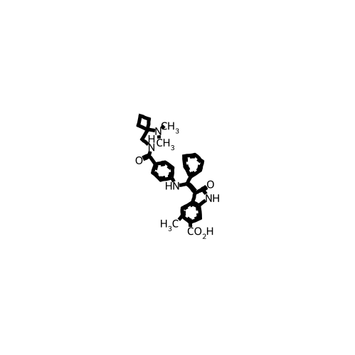 Cc1cc2c(cc1C(=O)O)NC(=O)C2=C(Nc1ccc(C(=O)NCC2(N(C)C)CCC2)cc1)c1ccccc1